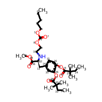 CCCCCOC(=O)OCCN[C@@H](Cc1ccc(OC(=O)C(C)(C)CC)c(OC(=O)C(C)(C)CC)c1)C(=O)OC